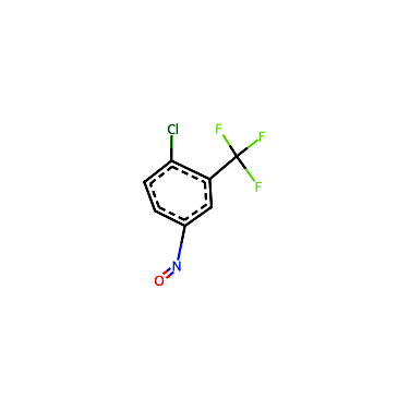 O=Nc1ccc(Cl)c(C(F)(F)F)c1